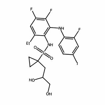 CCc1cc(F)c(F)c(Nc2ccc(I)cc2F)c1NS(=O)(=O)C1(CC(O)CO)CC1